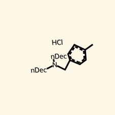 CCCCCCCCCCN(CCCCCCCCCC)Cc1ccc(C)cc1.Cl